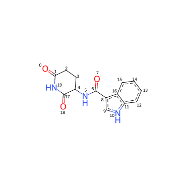 O=C1CCC(NC(=O)c2c[nH]c3ccccc23)C(=O)N1